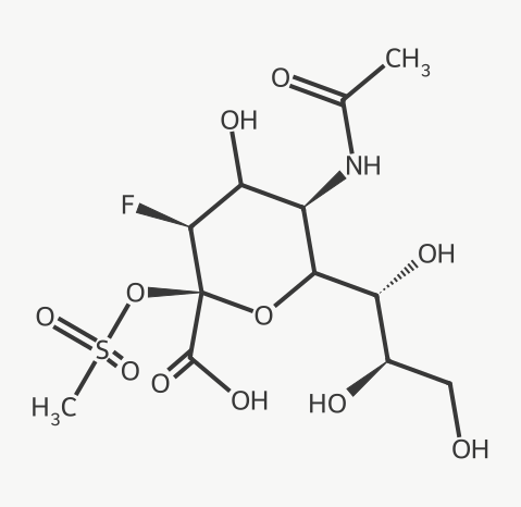 CC(=O)N[C@H]1C([C@H](O)[C@H](O)CO)O[C@](OS(C)(=O)=O)(C(=O)O)[C@@H](F)C1O